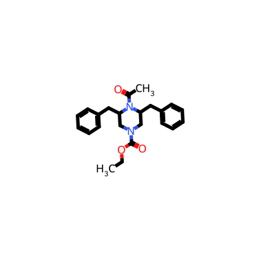 CCOC(=O)N1CC(Cc2ccccc2)N(C(C)=O)C(Cc2ccccc2)C1